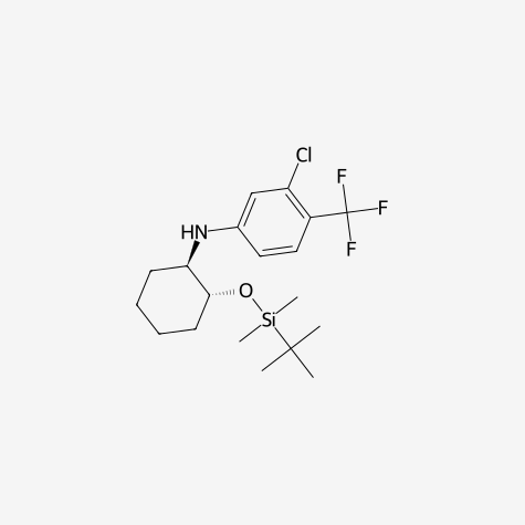 CC(C)(C)[Si](C)(C)O[C@@H]1CCCC[C@H]1Nc1ccc(C(F)(F)F)c(Cl)c1